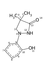 CC1(C)CN(c2ccccc2O)NC1=O